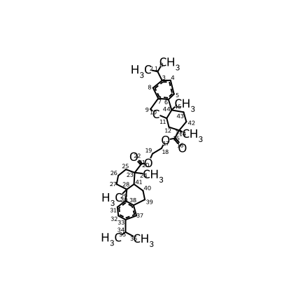 CC(C)c1ccc2c(c1)CCC1CC(C)(C(=O)OCCOC(=O)C3(C)CCCC4(C)c5ccc(C(C)C)cc5CCC34)CCC21C